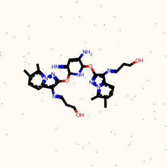 Cc1ccc2c(N=CCCO)c(OC3NC(Oc4nn5c(C)c(C)ccc5c4N=CCCO)C(N)=CC3=N)nn2c1C